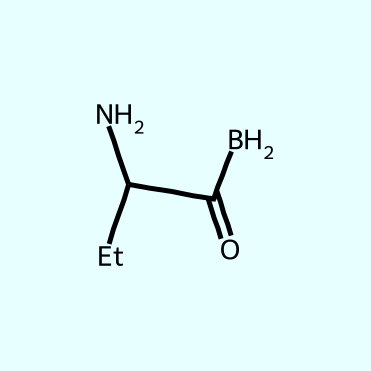 BC(=O)C(N)CC